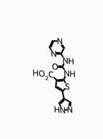 O=C(Nc1cnccn1)Nc1sc(-c2cn[nH]c2)cc1C(=O)O